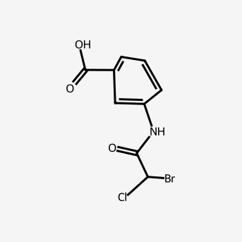 O=C(O)c1cccc(NC(=O)C(Cl)Br)c1